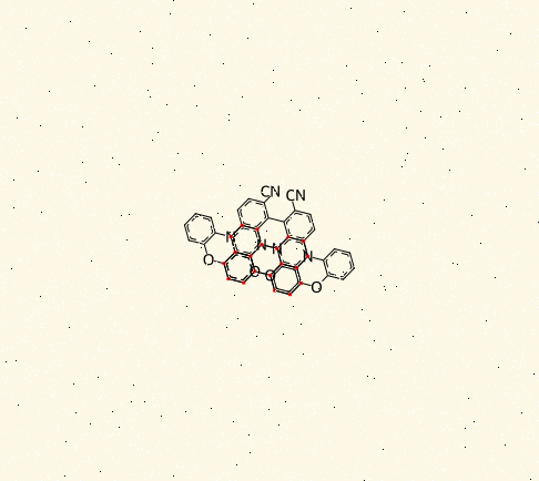 N#Cc1ccc(N2c3ccccc3Oc3ccccc32)c(N2c3ccccc3Oc3ccccc32)c1-c1c(C#N)ccc(N2c3ccccc3Oc3ccccc32)c1N1c2ccccc2Oc2ccccc21